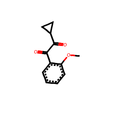 COc1ccccc1C(=O)C(=O)C1CC1